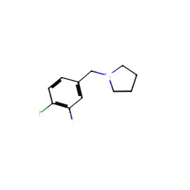 Clc1ccc(CN2CCCC2)cc1I